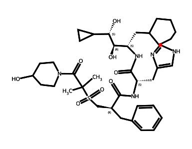 CC(C)(C(=O)N1CCC(O)CC1)S(=O)(=O)C[C@H](Cc1ccccc1)C(=O)N[C@@H](Cc1c[nH]cn1)C(=O)N[C@@H](CC1CCCCC1)[C@@H](O)[C@@H](O)C1CC1